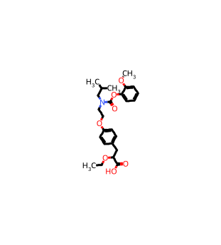 CCOC(Cc1ccc(OCCN(CC(C)C)C(=O)Oc2ccccc2OC)cc1)C(=O)O